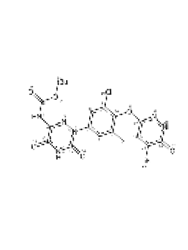 Cc1cc(-n2nc(NC(=O)OC(C)(C)C)c(=O)[nH]c2=O)cc(Cl)c1Oc1cc(C(C)C)c(=O)[nH]n1